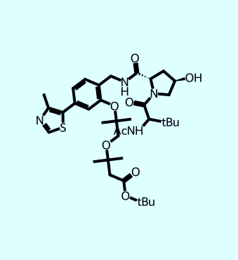 CC(=O)NC(C(=O)N1C[C@H](O)C[C@H]1C(=O)NCc1ccc(-c2scnc2C)cc1OC(C)(C)COC(C)(C)CC(=O)OC(C)(C)C)C(C)(C)C